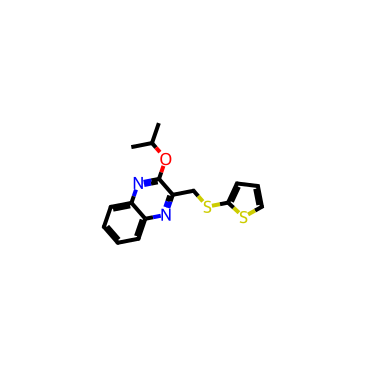 CC(C)Oc1nc2ccccc2nc1CSc1cccs1